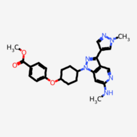 CNc1cc2c(cn1)c(-c1cnn(C)c1)nn2C1CCC(Oc2ccc(C(=O)OC)cc2)CC1